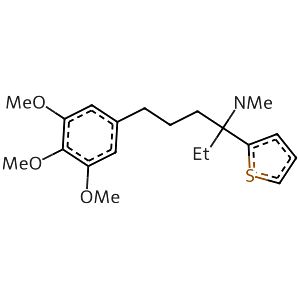 CCC(CCCc1cc(OC)c(OC)c(OC)c1)(NC)c1cccs1